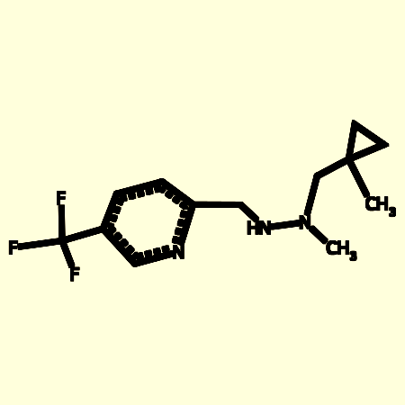 CN(CC1(C)CC1)NCc1ccc(C(F)(F)F)cn1